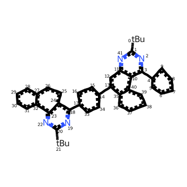 CC(C)(C)c1nc(-c2ccccc2)c2c(cc(-c3ccc(-c4nc(C(C)(C)C)nc5c4ccc4ccccc45)cc3)c3ccccc32)n1